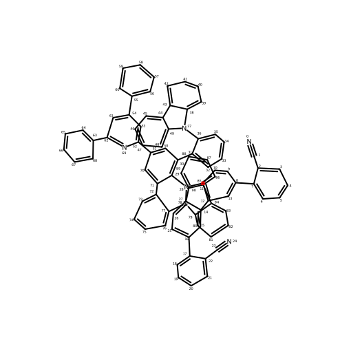 N#Cc1ccccc1-c1ccc2c(c1)c1cc(-c3ccccc3C#N)ccc1n2-c1c(-c2ccccc2-n2c3ccccc3c3ccccc32)cc(-c2cc(-c3ccccc3)cc(-c3ccccc3)n2)cc1-c1ccccc1-n1c2ccccc2c2ccccc21